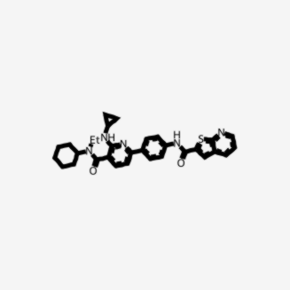 CCN(C(=O)c1ccc(-c2ccc(NC(=O)c3cc4cccnc4s3)cc2)nc1NC1CC1)C1CCCCC1